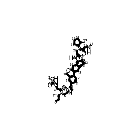 CC[C@H](C)N(Cc1ncc(-c2ccc3c(c2)COc2cc4c(ccc5nc(CN(C(=O)CNC)[C@H]6CCC[C@H]6C)[nH]c54)cc2-3)[nH]1)C(=O)CNC(=O)OC